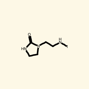 O=C1NCCN1CCNI